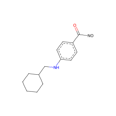 O=NC(=O)c1ccc(NCC2CCCCC2)cc1